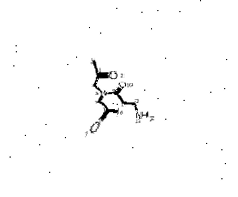 CC(=O)CN(CC(=O)I)C(=O)CCN